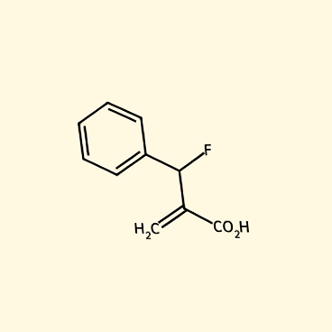 C=C(C(=O)O)C(F)c1ccccc1